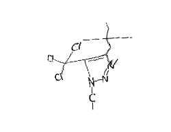 CCn1nnc(C(C)(C)C)c1C(Cl)(Cl)Cl